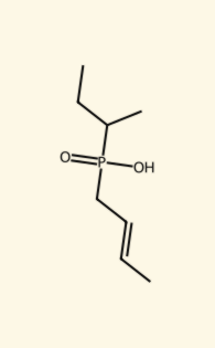 CC=CCP(=O)(O)C(C)CC